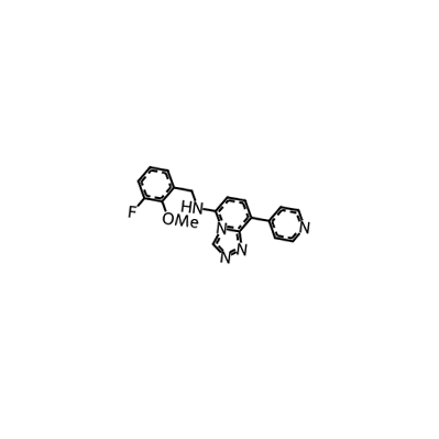 COc1c(F)cccc1CNc1ccc(-c2ccncc2)c2nncn12